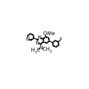 COc1cc(-c2cccc(F)c2)cc2c(N(C)C)nc(-c3cccnc3)nc12